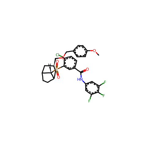 COc1ccc(COC[C@H]2CC3CCC(C2)[C@@H]3S(=O)(=O)c2cc(C(=O)Nc3cc(F)c(F)c(F)c3)ccc2Cl)cc1